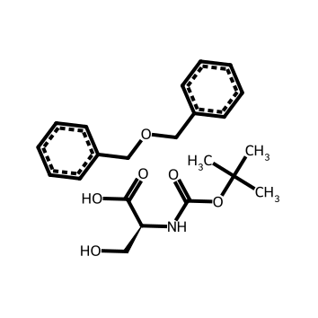 CC(C)(C)OC(=O)N[C@@H](CO)C(=O)O.c1ccc(COCc2ccccc2)cc1